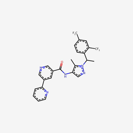 Cc1c(NC(=O)c2cncc(-c3ccccn3)c2)cnn1C(C)c1ccc(C(F)(F)F)cc1C(F)(F)F